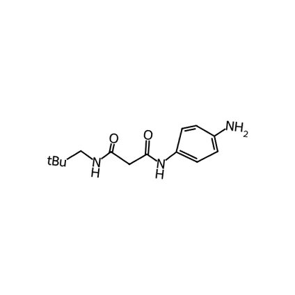 CC(C)(C)CNC(=O)CC(=O)Nc1ccc(N)cc1